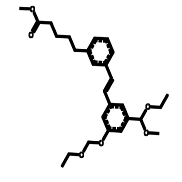 CCOCOc1cc(C=Cc2cccc(CCCCC(=O)OC)c2)cc(C(OC)OCC)c1